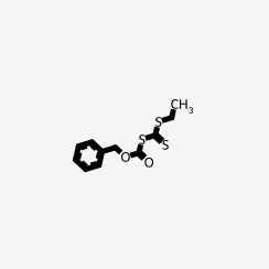 CCSC(=S)SC(=O)OCc1ccccc1